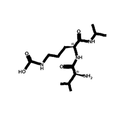 CC(C)NC(=O)[C@H](CCCNC(=O)O)NC(=O)[C@@H](N)C(C)C